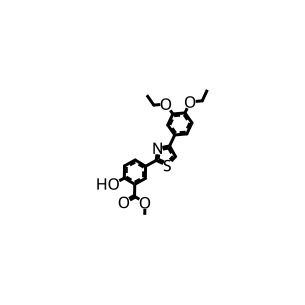 CCOc1ccc(-c2csc(-c3ccc(O)c(C(=O)OC)c3)n2)cc1OCC